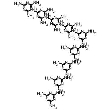 Nc1nc(N)nc(N)n1.Nc1nc(N)nc(N)n1.Nc1nc(N)nc(N)n1.Nc1nc(N)nc(N)n1.Nc1nc(N)nc(N)n1.Nc1nc(N)nc(N)n1.Nc1nc(N)nc(N)n1.Nc1nc(N)nc(N)n1.Nc1nc(N)nc(N)n1